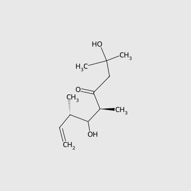 C=C[C@H](C)C(O)[C@H](C)C(=O)CC(C)(C)O